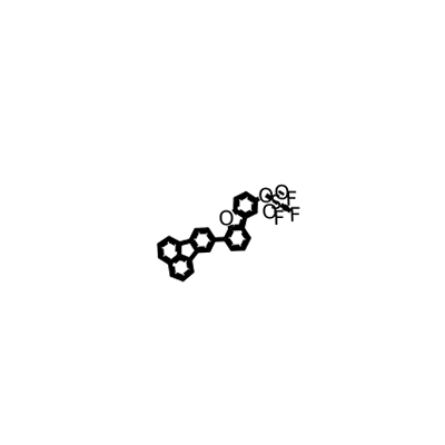 O=S(=O)(Oc1ccc2oc3c(-c4ccc5c(c4)-c4cccc6cccc-5c46)cccc3c2c1)C(F)(F)F